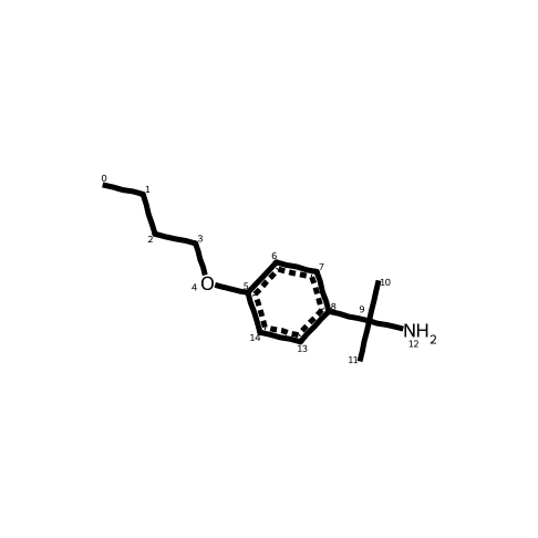 CCCCOc1ccc(C(C)(C)N)cc1